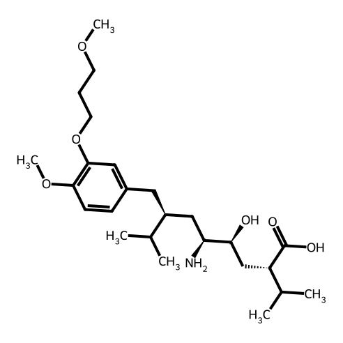 COCCCOc1cc(C[C@@H](C[C@H](N)[C@@H](O)C[C@H](C(=O)O)C(C)C)C(C)C)ccc1OC